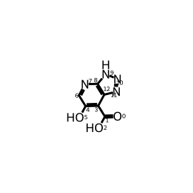 O=C(O)c1c(O)cnc2[nH]nnc12